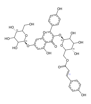 O=C(/C=C/c1ccc(O)cc1)OCC1O[C@@H](Oc2c(-c3ccc(O)cc3)oc3cc(O[C@@H]4OC(CO)[C@@H](O)C(O)C4O)cc(O)c3c2=O)C(O)C(O)[C@@H]1O